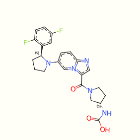 O=C(O)N[C@H]1CCN(C(=O)c2cnc3ccc(N4CCC[C@H]4c4cc(F)ccc4F)cn23)C1